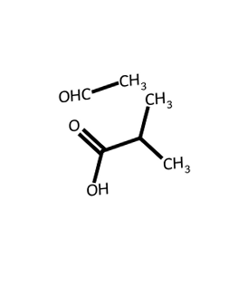 CC(C)C(=O)O.CC=O